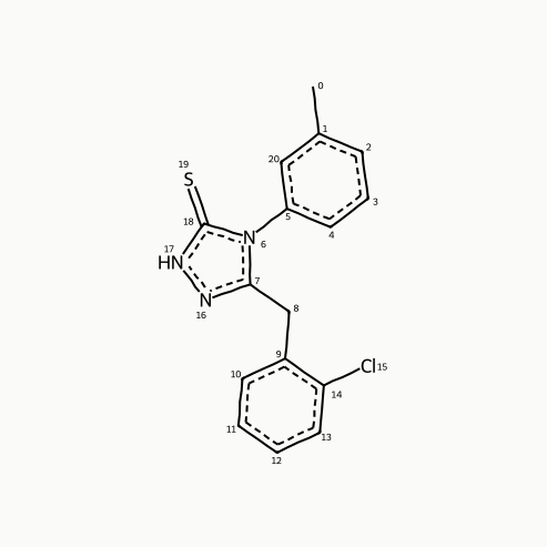 Cc1cccc(-n2c(Cc3ccccc3Cl)n[nH]c2=S)c1